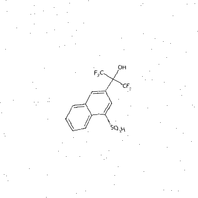 O=S(=O)(O)c1cc(C(O)(C(F)(F)F)C(F)(F)F)cc2ccccc12